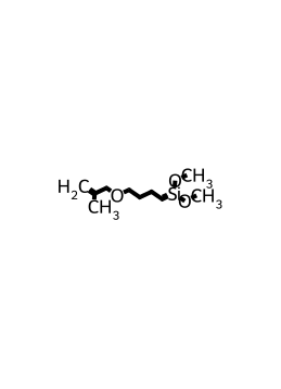 C=C(C)COCCCC=[Si](OC)OC